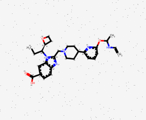 C=CNC(C)Oc1cccc(C2CCN(Cc3nc4ccc(C(=O)O)cc4n3C(CC)[C@@H]3CCO3)CC2)n1